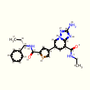 CCNC(=O)c1cc(-c2csc(C(=O)N[C@@H](CC)c3ccccc3)c2)cn2nc(N)nc12